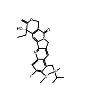 C=C1OCc2c(cc3n(c2=O)Cc2cc4c(C[N+](C)(C)C(C)C)c(OC)c(F)cc4nc2-3)[C@@]1(O)CC